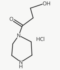 Cl.O=C(CCO)N1CCNCC1